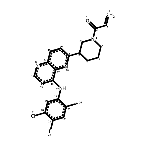 C=CC(=O)N1CCCC(c2ccc3ncnc(Nc4cc(Cl)c(F)cc4F)c3n2)C1